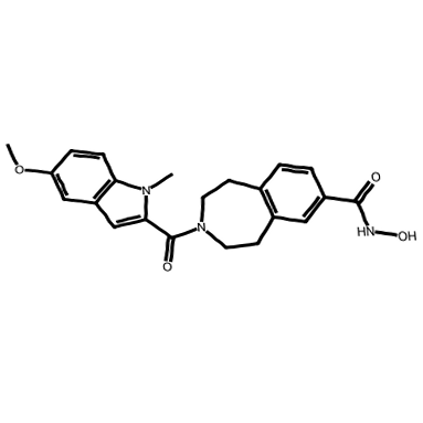 COc1ccc2c(c1)cc(C(=O)N1CCc3ccc(C(=O)NO)cc3CC1)n2C